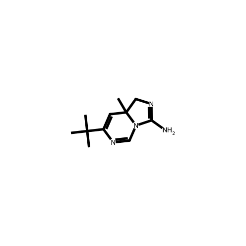 CC(C)(C)C1=CC2(C)CN=C(N)N2C=N1